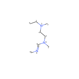 CCN(C)CCN(C)C=NC